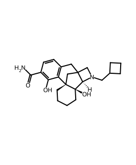 NC(=O)c1ccc2c(c1O)[C@@]13CCCC[C@@]1(O)[C@@H]1N(CC4CCC4)CC1(C2)C3